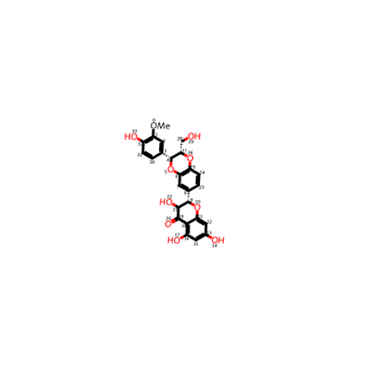 COc1cc([C@H]2Oc3cc([C@@H]4Oc5cc(O)cc(O)c5C(=O)C4O)ccc3O[C@H]2CO)ccc1O